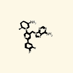 C[C@H]1CC[C@@H](N)CN1c1cnc(-c2ccc(F)c(F)c2)cc1Cn1cnc2c(N)ncnc21